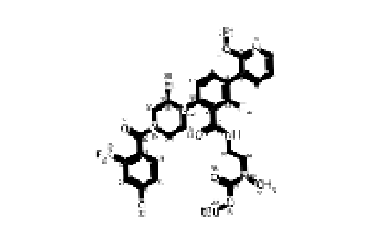 CCOc1ncccc1-c1ccc(N2CCN(C(=O)c3ccc(Cl)cc3C(F)(F)F)C[C@H]2CC)c(C(=O)NCCN(C)C(=O)OC(C)(C)C)c1F